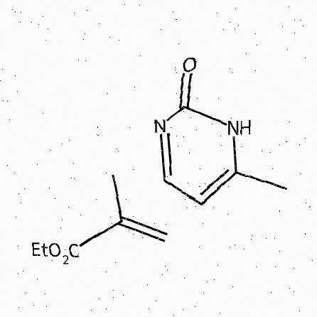 C=C(C)C(=O)OCC.Cc1ccnc(=O)[nH]1